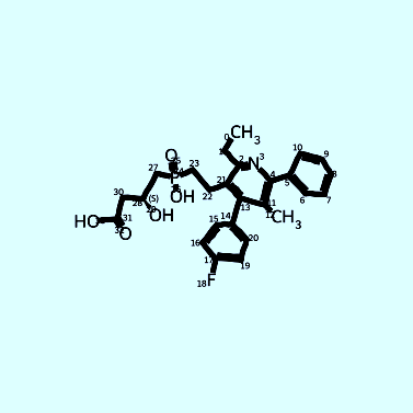 CCc1nc(-c2ccccc2)c(C)c(-c2ccc(F)cc2)c1CCP(=O)(O)C[C@@H](O)CC(=O)O